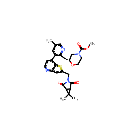 CC(C)(C)OC(=O)N1CCO[C@H](Cc2ncc(C(F)(F)F)cc2-c2ccnc3cc(CN4C(=O)C5C(C4=O)C5(C)C)sc23)C1